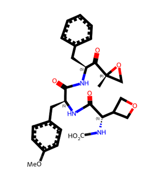 COc1ccc(C[C@H](NC(=O)[C@@H](NC(=O)O)C2COC2)C(=O)N[C@@H](Cc2ccccc2)C(=O)[C@@]2(C)CO2)cc1